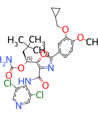 COc1ccc(-c2nc(C(=O)Nc3c(Cl)cncc3Cl)c([C@H](CC(C)(C)C)OC(N)=O)o2)cc1OCC1CC1